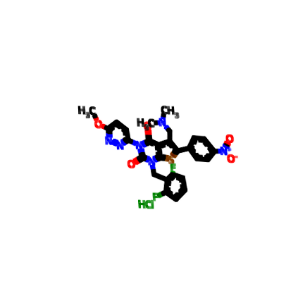 COc1ccc(-n2c(=O)c3c(CN(C)C)c(-c4ccc([N+](=O)[O-])cc4)sc3n(Cc3c(F)cccc3F)c2=O)nn1.Cl